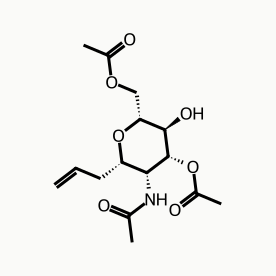 C=CC[C@@H]1O[C@H](COC(C)=O)[C@@H](O)[C@H](OC(C)=O)[C@@H]1NC(C)=O